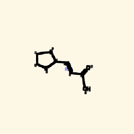 O=C(O)/C=C/C1SCCS1